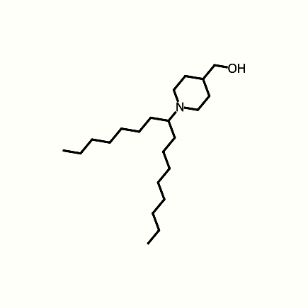 CCCCCCCCC(CCCCCCC)N1CCC(CO)CC1